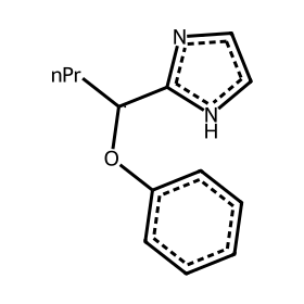 CCC[C](Oc1ccccc1)c1ncc[nH]1